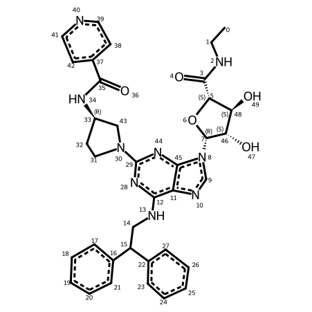 CCNC(=O)[C@H]1O[C@@H](n2cnc3c(NCC(c4ccccc4)c4ccccc4)nc(N4CC[C@@H](NC(=O)c5ccncc5)C4)nc32)[C@@H](O)[C@@H]1O